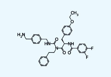 CCOc1ccc(C[C@@H](NC(=O)c2ccc(F)c(F)c2)C(=O)N(CCc2ccccc2)C(=O)NCc2ccc(CN)cc2)cc1